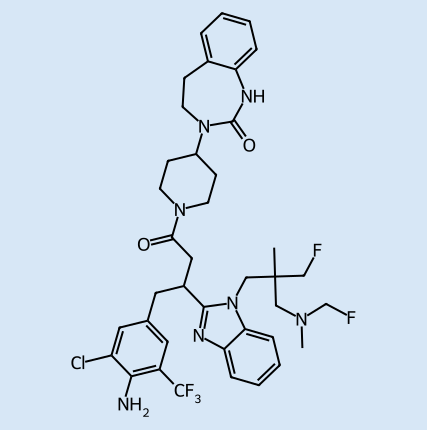 CN(CF)CC(C)(CF)Cn1c(C(CC(=O)N2CCC(N3CCc4ccccc4NC3=O)CC2)Cc2cc(Cl)c(N)c(C(F)(F)F)c2)nc2ccccc21